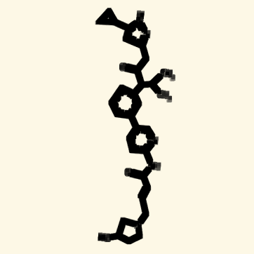 CC(C)C(C(=O)Cc1cc(C2CC2)[nH]n1)c1cccc(-c2ccc(NC(=O)/C=C/CN3CCC(O)C3)nc2)c1